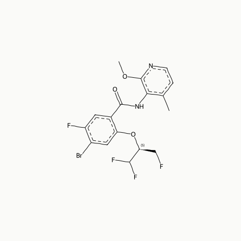 COc1nccc(C)c1NC(=O)c1cc(F)c(Br)cc1O[C@@H](CF)C(F)F